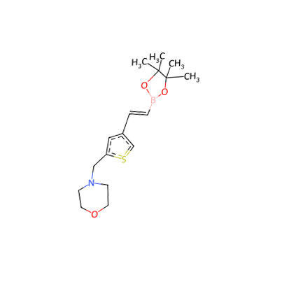 CC1(C)OB(/C=C/c2csc(CN3CCOCC3)c2)OC1(C)C